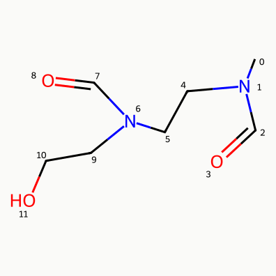 CN(C=O)CCN(C=O)CCO